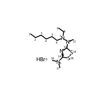 Br.CCCCCCN(CC)N(C)C1N=C(N(C)C)SS1